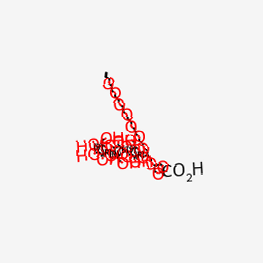 C=CCOCCOCCOCCOCCOCCOCCOCC(COC1COC(C)(C(=O)O)OC1)O[C@@H]1OC(CO)[C@@H](O[C@@H]2OC(CO)[C@H](O[C@H]3OC(CO)[C@H](O)C(O)C3O)C(O)C2O)C(O)C1O